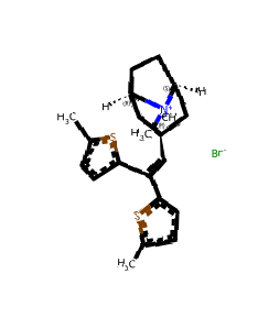 Cc1ccc(C(=C[C@H]2C[C@H]3CC[C@@H](C2)[N+]3(C)C)c2ccc(C)s2)s1.[Br-]